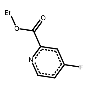 CCOC(=O)c1cc(F)ccn1